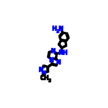 Cn1cc(-c2cnc3c(NC4Cc5ccc(N)cc5C4)nccn23)cn1